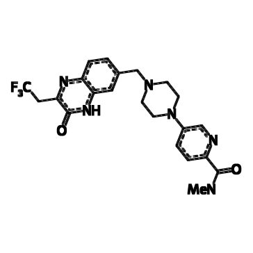 CNC(=O)c1ccc(N2CCN(Cc3ccc4nc(CC(F)(F)F)c(=O)[nH]c4c3)CC2)cn1